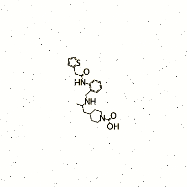 CC(CC1CCN(C(=O)O)CC1)NCc1ccccc1NC(=O)Cc1cccs1